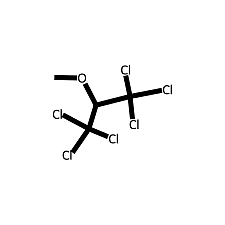 COC(C(Cl)(Cl)Cl)C(Cl)(Cl)Cl